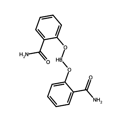 NC(=O)c1ccccc1OBOc1ccccc1C(N)=O